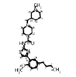 CCCCc1ccc(OC)c(-c2csc(NC(=O)N3CCN(CC4CCCN(C)C4)CC3)n2)c1